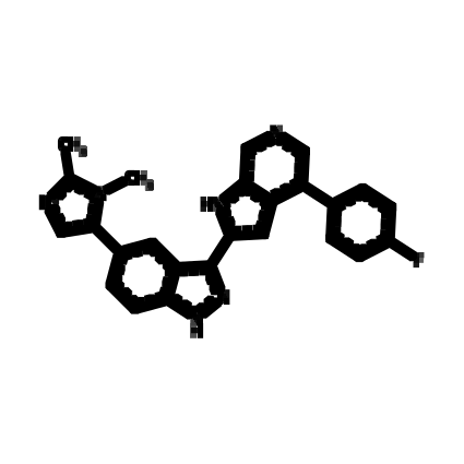 Cc1ncc(-c2ccc3[nH]nc(-c4cc5c(-c6ccc(F)cc6)cncc5[nH]4)c3c2)n1C